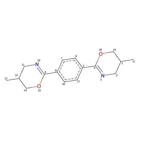 CC1CN=C(c2ccc(C3=NCC(C)CO3)cc2)OC1